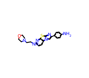 Nc1ccc(-c2cn3c(n2)sc2nc(NCCN4CCOCC4)ccc23)cc1